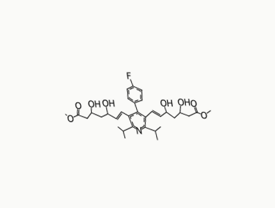 COC(=O)CC(O)CC(O)C=Cc1c(C(C)C)nc(C(C)C)c(C=CC(O)CC(O)CC(=O)OC)c1-c1ccc(F)cc1